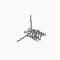 CCCCCCCCCCCC(CCCCCCCCCCC)(C(=O)O)C(C(=O)O)S(=O)(=O)O.NCCO.NCCO.NCCO